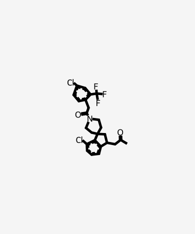 CC(=O)CC1CC2(CCN(C(=O)Cc3ccc(Cl)cc3C(F)(F)F)CC2)c2c(Cl)cccc21